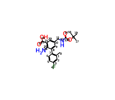 Cc1cc(F)ccc1-c1cc(CNC(=O)OC(C)(C)C)cc(C(=O)O)c1N